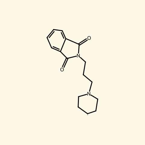 O=C1c2ccccc2C(=O)N1CCCN1CC[CH]CC1